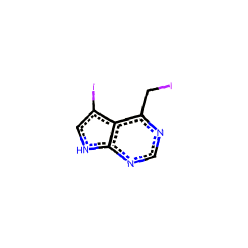 ICc1ncnc2[nH]cc(I)c12